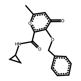 Cc1cc(=O)c(OCc2ccccc2)c(C(=O)NC2CC2)o1